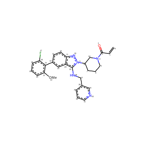 C=CC(=O)N1CCCC(n2nc3ccc(-c4c(F)cccc4OC)cc3c2NCc2cccnc2)C1